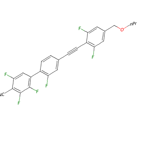 CCCOCc1cc(F)c(C#Cc2ccc(-c3cc(F)c(C#N)c(F)c3F)c(F)c2)c(F)c1